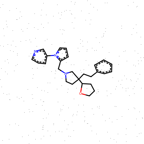 c1ccc(CCC2(C3CCCO3)CCN(Cc3cccn3-c3cccnc3)C2)cc1